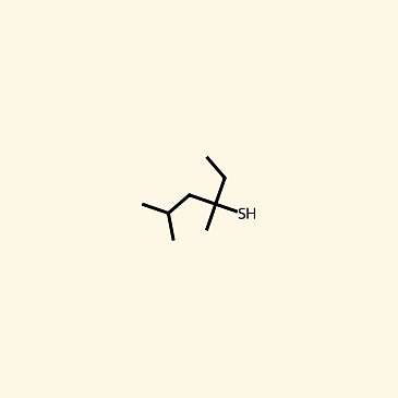 CCC(C)(S)CC(C)C